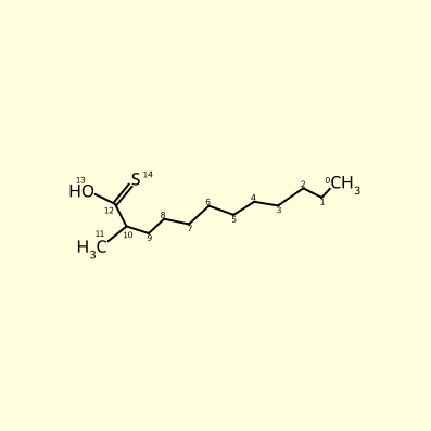 CCCCCCCCCCC(C)C(O)=S